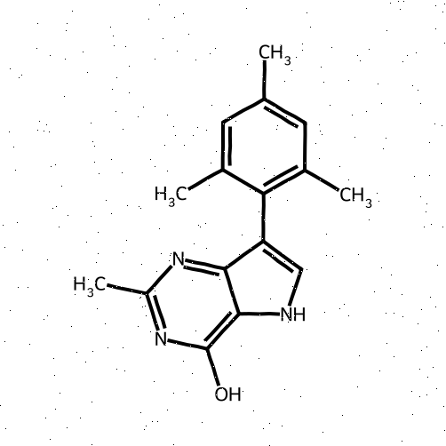 Cc1cc(C)c(-c2c[nH]c3c(O)nc(C)nc23)c(C)c1